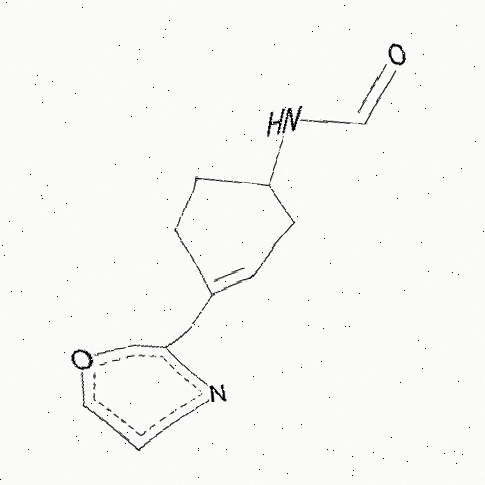 O=CNC1CC=C(c2ncco2)CC1